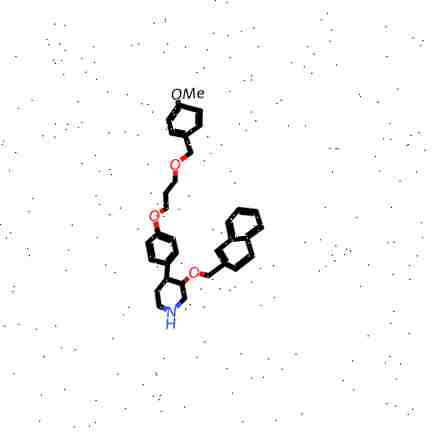 COc1ccc(COCCCOc2ccc(C3CCNCC3OCc3ccc4ccccc4c3)cc2)cc1